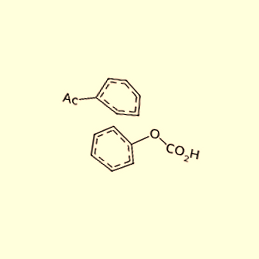 CC(=O)c1ccccc1.O=C(O)Oc1ccccc1